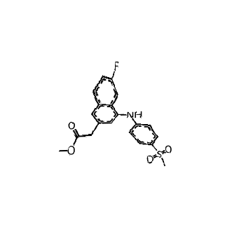 COC(=O)Cc1cc(Nc2ccc(S(C)(=O)=O)cc2)c2cc(F)ccc2c1